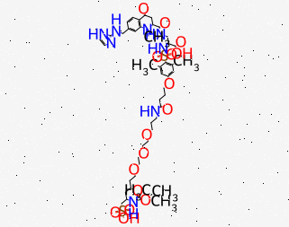 Cc1cc(OCCCC(=O)NCCCOCCOCCOCCCCC(CS(=O)(=O)O)NC(=O)OC(C)(C)C)cc(C)c1S(=O)(=O)NC(CNC(=O)C1CC(=O)c2ccc(CNc3ncc[nH]3)cc2N1C)C(=O)O